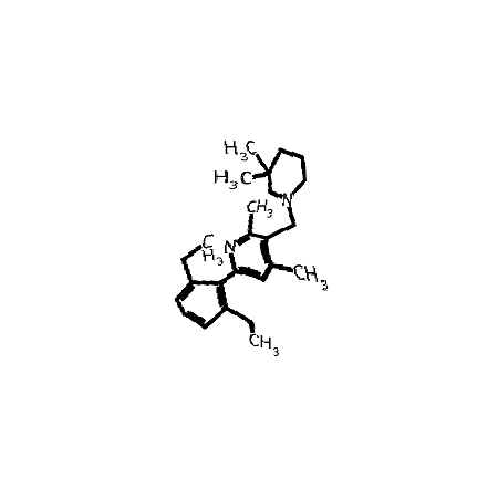 CCc1cccc(CC)c1-c1cc(C)c(CN2CCCC(C)(C)C2)c(C)n1